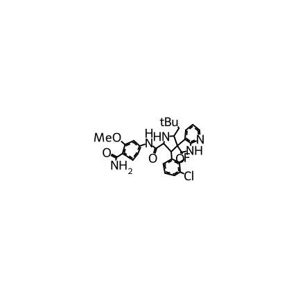 COc1cc(NC(=O)C2NC(CC(C)(C)C)C3(C(=O)Nc4ncccc43)C2c2cccc(Cl)c2F)ccc1C(N)=O